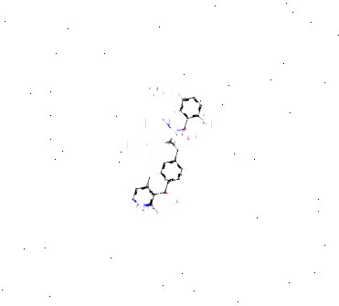 COc1ccc(Br)c(C(=O)N(N)[C@@H](Cc2ccc(C(=O)c3c(C)ccnc3C)cc2)C(=O)O)c1